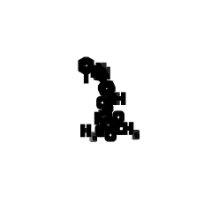 Cn1c(=O)c2c(ncn2CC(=O)Nc2ccc(-c3cn(-c4ccccc4I)nn3)cc2)n(C)c1=O